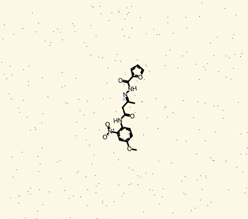 COc1ccc(NC(=O)C/C(C)=N/NC(=O)c2ccco2)c([N+](=O)[O-])c1